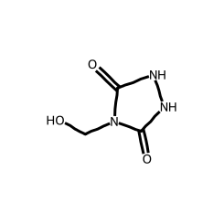 O=c1[nH][nH]c(=O)n1CO